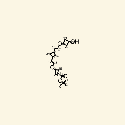 CC(C)(C)OC(=O)N1CC(OCCC2CC(CCO[C@H]3C[C@@H](O)C3)C2)C1